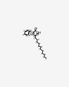 CCCCCCCCCCCCC(=O)N[C@H](Cc1ccccc1)C(=O)O